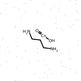 NCCCN.[O]=[Co][OH]